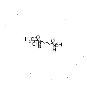 C=C(C)C(=O)NCCCCC(=O)NS